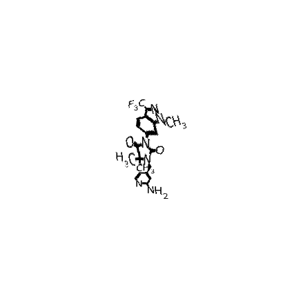 Cn1nc(C(F)(F)F)c2ccc(N3C(=O)N(Cc4ccnc(N)c4)C(C)(C)C3=O)cc21